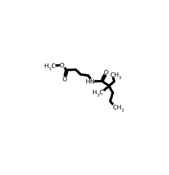 CCCC(C)(CC)C(=O)NCCCC(=O)OC